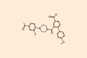 COc1ccc(-c2ccc([N+](=O)[O-])cc2C(=O)N2CCN(c3ccc(C(C)=O)cc3F)CC2)cc1